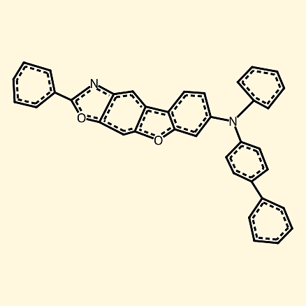 c1ccc(-c2ccc(N(c3ccccc3)c3ccc4c(c3)oc3cc5oc(-c6ccccc6)nc5cc34)cc2)cc1